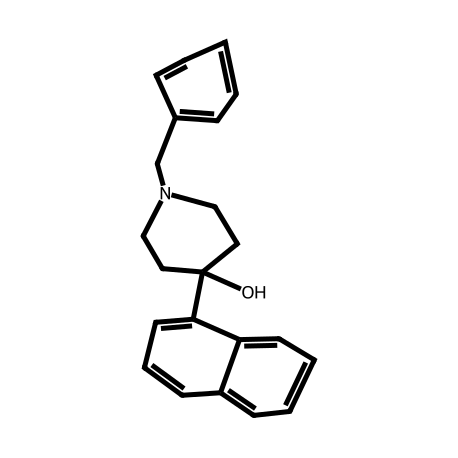 OC1(c2cccc3ccccc23)CCN(Cc2ccccc2)CC1